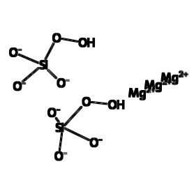 [Mg+2].[Mg+2].[Mg+2].[O-][Si]([O-])([O-])OO.[O-][Si]([O-])([O-])OO